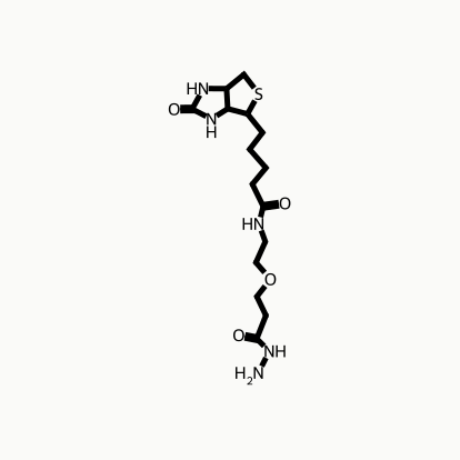 NNC(=O)CCOCCNC(=O)CCCCC1SCC2NC(=O)NC21